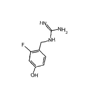 N=C(N)NCc1ccc(O)cc1F